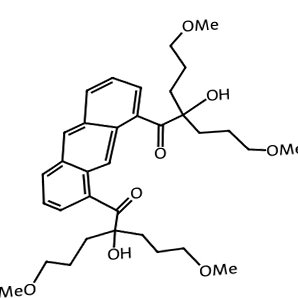 COCCCC(O)(CCCOC)C(=O)c1cccc2cc3cccc(C(=O)C(O)(CCCOC)CCCOC)c3cc12